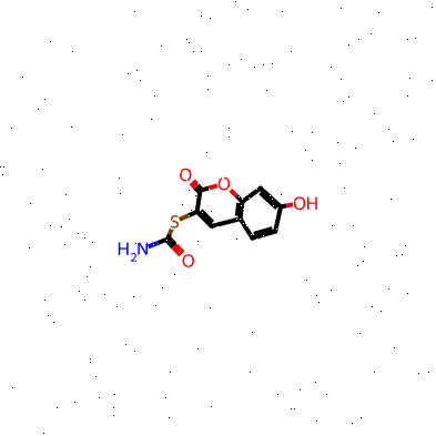 NC(=O)Sc1cc2ccc(O)cc2oc1=O